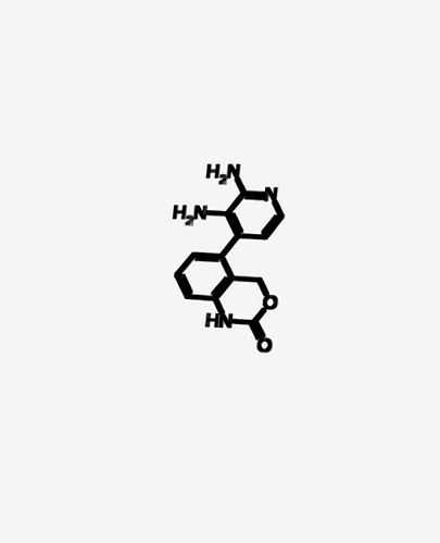 Nc1nccc(-c2cccc3c2COC(=O)N3)c1N